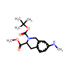 CNc1ccc2c(c1)CN(C(=O)OC(C)(C)C)C(C(=O)OC)C2